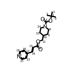 CC(C)(C)OC(=O)N1CCC(COC(=O)/C=C/c2ccncc2)CC1